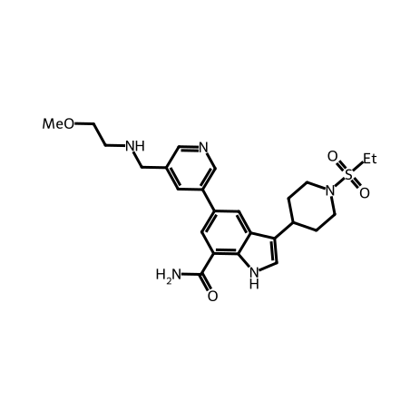 CCS(=O)(=O)N1CCC(c2c[nH]c3c(C(N)=O)cc(-c4cncc(CNCCOC)c4)cc23)CC1